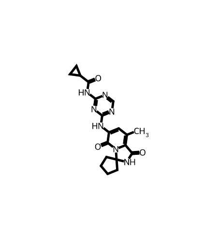 Cc1cc(Nc2ncnc(NC(=O)C3CC3)n2)c(=O)n2c1C(=O)NC21CCCC1